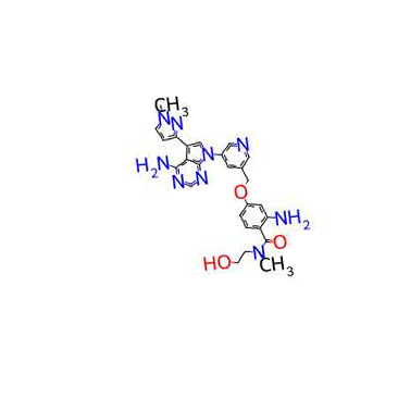 CN(CCO)C(=O)c1ccc(OCc2cncc(-n3cc(-c4ccn(C)n4)c4c(N)ncnc43)c2)cc1N